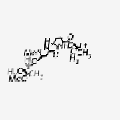 C=C(NCO/C=C(/C[C@H](N)C(=O)N1CCC[C@@H](C(=O)OCC(C)(C)CC)N1)NC)[C@H](C)OC